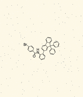 O=C(Nc1ccccc1-c1ccc2c(c1)C(c1ccccc1)(c1ccccc1)c1ccccc1-2)c1ccc(Br)cc1